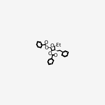 CC[C@H]1O[C@H](OC(=O)c2ccccc2)C(OC(=O)c2ccccc2)[C@H]1CCc1ccccc1